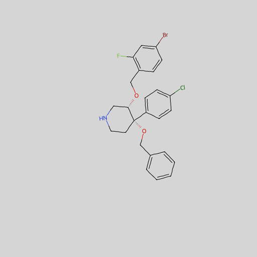 Fc1cc(Br)ccc1CO[C@H]1CNCC[C@]1(OCc1ccccc1)c1ccc(Cl)cc1